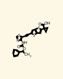 CC(OC(=O)Nc1ncsc1C#Cc1cc2sc(C3(C(=O)O)CC3)cc2s1)c1ccccc1